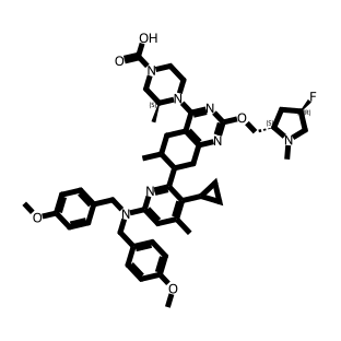 COc1ccc(CN(Cc2ccc(OC)cc2)c2cc(C)c(C3CC3)c(C3Cc4nc(OC[C@@H]5C[C@@H](F)CN5C)nc(N5CCN(C(=O)O)C[C@@H]5C)c4CC3C)n2)cc1